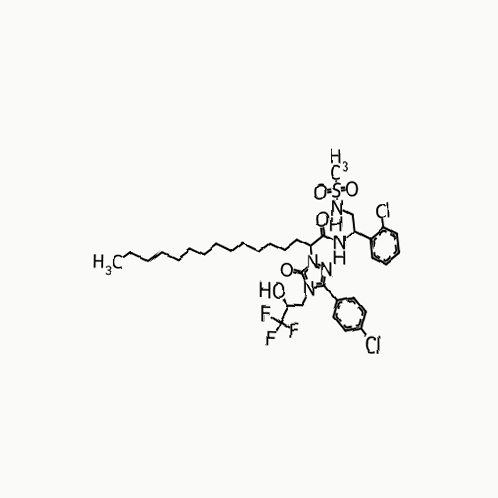 CCCCCCCCCCCCCCC(C(=O)NC(CNS(C)(=O)=O)c1ccccc1Cl)n1nc(-c2ccc(Cl)cc2)n(C[C@H](O)C(F)(F)F)c1=O